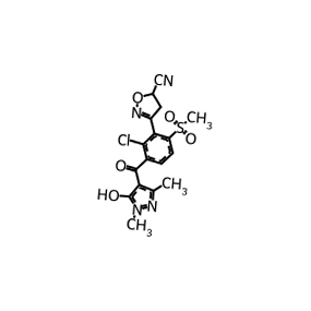 Cc1nn(C)c(O)c1C(=O)c1ccc(S(C)(=O)=O)c(C2=NOC(C#N)C2)c1Cl